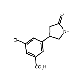 O=C1CC(c2cc(Cl)cc(C(=O)O)c2)CN1